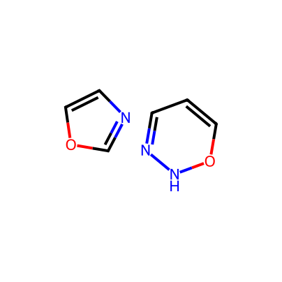 C1=CONN=C1.c1cocn1